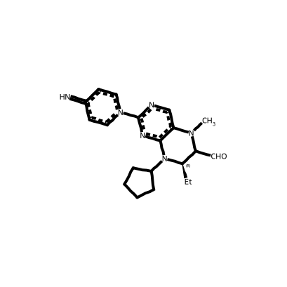 CC[C@@H]1C(C=O)N(C)c2cnc(-n3ccc(=N)cc3)nc2N1C1CCCC1